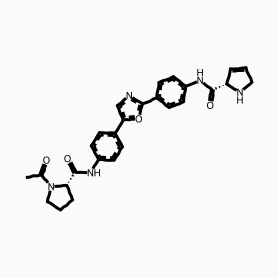 CC(=O)N1CCC[C@H]1C(=O)Nc1ccc(-c2cnc(-c3ccc(NC(=O)[C@@H]4C=CCN4)cc3)o2)cc1